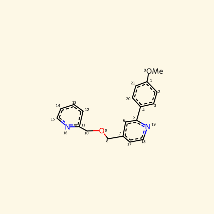 COc1ccc(-c2cc(COCc3ccccn3)ccn2)cc1